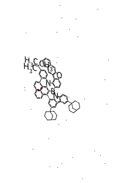 CC(C)(C)c1ccc(N2c3cc4ccccc4c4c3B(c3ccc5oc6cc7ccccc7cc6c5c32)n2c3ccc(C56CCCC(CCC5)C6)cc3c3cc(C56CCCC(CCC5)C6)cc-4c32)c(-c2ccccc2)c1